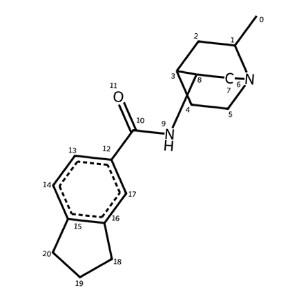 CC1CC2CCN1CC2NC(=O)c1ccc2c(c1)CCC2